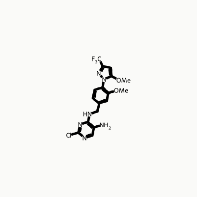 COc1cc(CNc2nc(Cl)ncc2N)ccc1-n1nc(C(F)(F)F)cc1OC